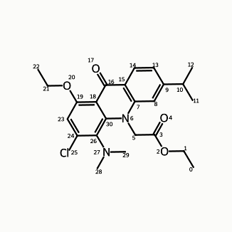 CCOC(=O)Cn1c2cc(C(C)C)ccc2c(=O)c2c(OCC)cc(Cl)c(N(C)C)c21